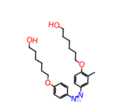 Cc1cc(/N=N\c2ccc(OCCCCCCO)cc2)ccc1OCCCCCCO